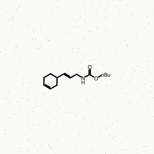 CCCCOC(=O)NC/C=C/C1CC=CCC1